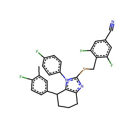 Cc1cc(C2CCCc3nc(SCc4c(F)cc(C#N)cc4F)n(-c4ccc(F)cc4)c32)ccc1F